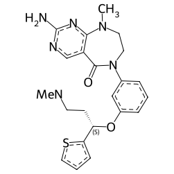 CNCC[C@H](Oc1cccc(N2CCN(C)c3nc(N)ncc3C2=O)c1)c1cccs1